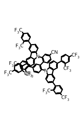 N#Cc1ccc(-c2cc(-c3ccc(C(F)(F)F)cc3C(F)(F)F)ccc2-n2c3ccc(-c4ccc(C(F)(F)F)cc4C(F)(F)F)cc3c3cc(-c4ccc(C(F)(F)F)cc4C(F)(F)F)ccc32)c(-n2c3ccc(-c4ccc(C(F)(F)F)cc4C(F)(F)F)cc3c3cc(-c4ccc(C(F)(F)F)cc4C(F)(F)F)ccc32)c1